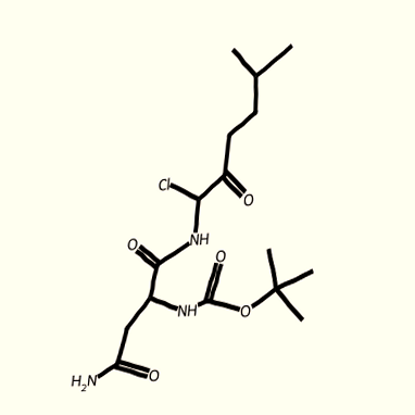 CC(C)CCC(=O)C(Cl)NC(=O)C(CC(N)=O)NC(=O)OC(C)(C)C